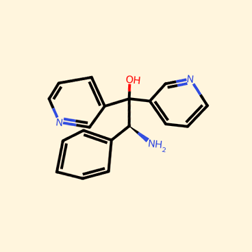 N[C@@H](c1ccccc1)C(O)(c1cccnc1)c1cccnc1